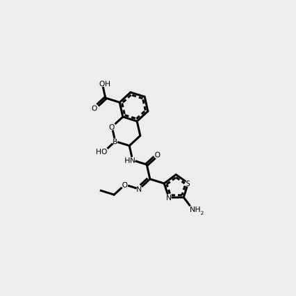 CCON=C(C(=O)NC1Cc2cccc(C(=O)O)c2OB1O)c1csc(N)n1